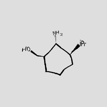 CC(C)[C@H]1CCC[C@@H](O)[C@@H]1N